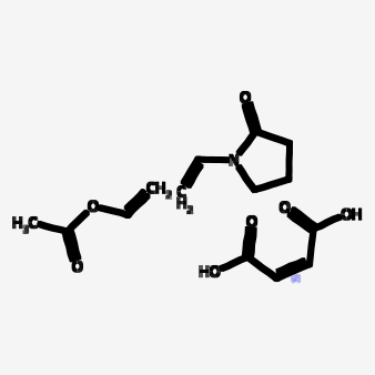 C=CN1CCCC1=O.C=COC(C)=O.O=C(O)/C=C\C(=O)O